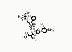 C=C1N=C(N)C=CN1[C@@H]1CC(OC(=O)C(N)C(C)C)[C@H](COP(=O)(NCc2ccccc2)OCCSC(=O)C(C)(C)CO)O1